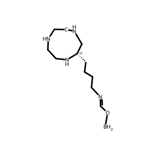 BOC=NCCCC[C@H]1CNCCNCCN1